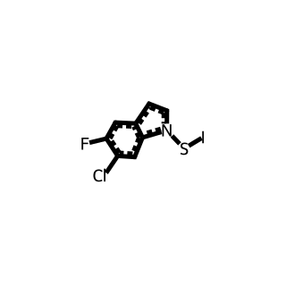 Fc1cc2ccn(SI)c2cc1Cl